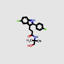 CC(C#N)(CO)NC(=O)CCc1c(-c2ccc(F)cc2)[nH]c2ccc(F)cc12